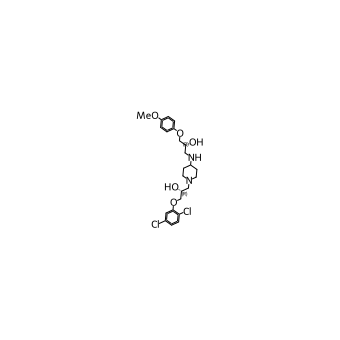 COc1ccc(OC[C@H](O)CNC2CCN(C[C@@H](O)COc3cc(Cl)ccc3Cl)CC2)cc1